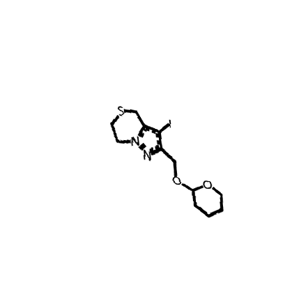 Ic1c(COC2CCCCO2)nn2c1CSCC2